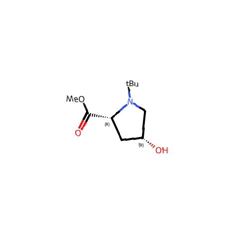 COC(=O)[C@H]1C[C@@H](O)CN1C(C)(C)C